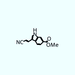 COC(=O)c1ccc2c(C=CC#N)c[nH]c2c1